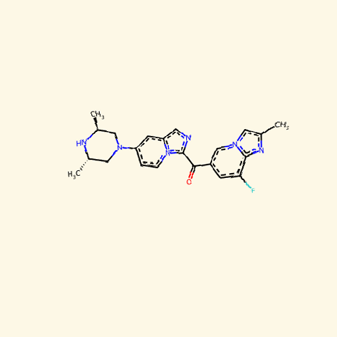 Cc1cn2cc(C(=O)c3ncc4cc(N5C[C@H](C)N[C@@H](C)C5)ccn34)cc(F)c2n1